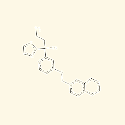 CCCC(O)(c1cccc(OCc2ccc3ccccc3c2)c1)c1nccs1